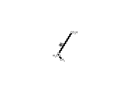 [CH2]C(OCC=C)OCCCCCCCCCCCCCCCCCC(=O)O.[CH2]C[O].[CH2]C[O]